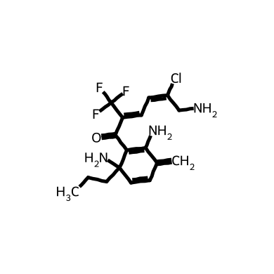 C=C1C=CC(N)(CCC)C(C(=O)C(=C/C=C(/Cl)CN)C(F)(F)F)=C1N